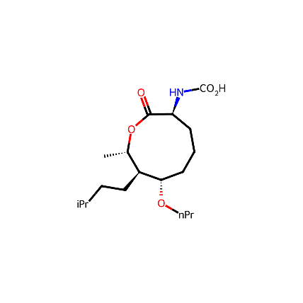 CCCO[C@H]1CCC[C@H](NC(=O)O)C(=O)O[C@@H](C)[C@@H]1CCC(C)C